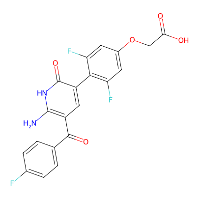 Nc1[nH]c(=O)c(-c2c(F)cc(OCC(=O)O)cc2F)cc1C(=O)c1ccc(F)cc1